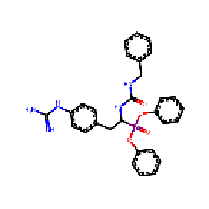 N=C(N)Nc1ccc(CC(NC(=O)NCc2ccccc2)P(=O)(Oc2ccccc2)Oc2ccccc2)cc1